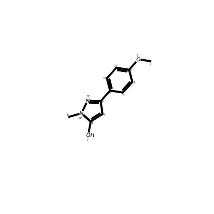 COc1ccc(-c2cc(O)n(C)n2)cc1